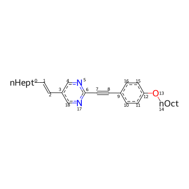 CCCCCCCC=Cc1cnc(C#Cc2ccc(OCCCCCCCC)cc2)nc1